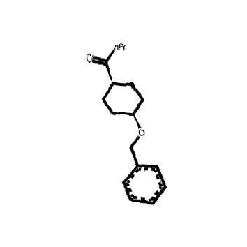 CCCC(=O)[C@H]1CC[C@@H](OCc2ccccc2)CC1